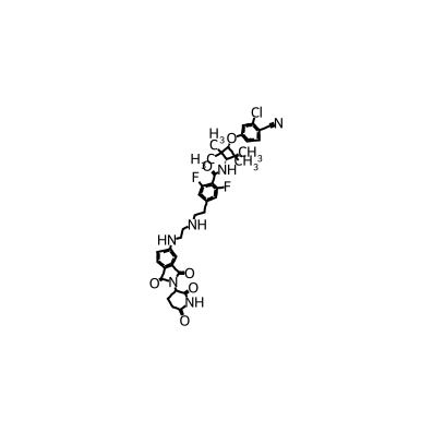 CC1(C)[C@H](NC(=O)c2c(F)cc(CCNCCNc3ccc4c(c3)C(=O)N(C3CCC(=O)NC3=O)C4=O)cc2F)C(C)(C)[C@H]1Oc1ccc(C#N)c(Cl)c1